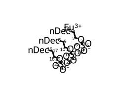 CCCCCCCCCCCCOS(=O)(=O)[O-].CCCCCCCCCCCCOS(=O)(=O)[O-].CCCCCCCCCCCCOS(=O)(=O)[O-].[Eu+3]